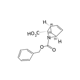 O=C(O)[C@@H]1[C@H]2C=C[C@H](C2)N1C(=O)OCc1ccccc1